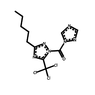 CCCCCc1nc(C(Cl)(Cl)Cl)n(C(=O)n2cncn2)n1